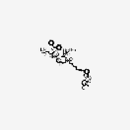 CN1C(=O)CCC(N2Cc3c(C#CCCCCCC(=O)N4CC[C@H]5CC[C@@H](C(=O)NC(CCC(N)=O)C(=O)NC(c6ccccc6)c6ccccc6)N5C(=O)[C@@H](NC(=O)OC(C)(C)C)C4)cccc3C2=O)C1=O